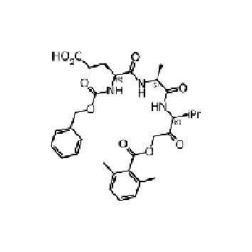 Cc1cccc(C)c1C(=O)OCC(=O)[C@@H](NC(=O)[C@H](C)NC(=O)[C@H](CCC(=O)O)NC(=O)OCc1ccccc1)C(C)C